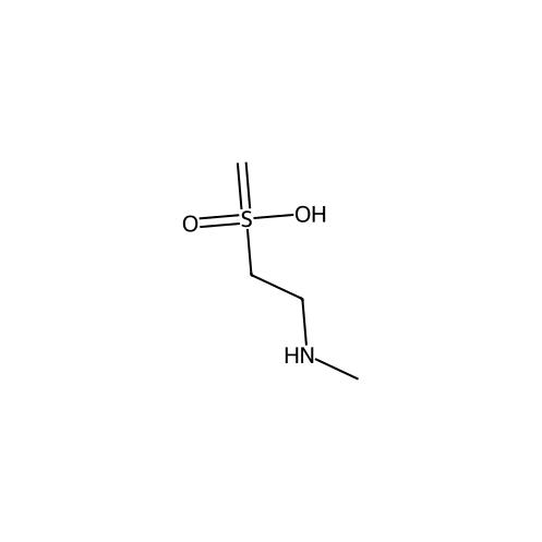 C=S(=O)(O)CCNC